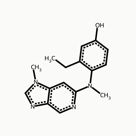 CCc1cc(O)ccc1N(C)c1cc2c(cn1)ncn2C